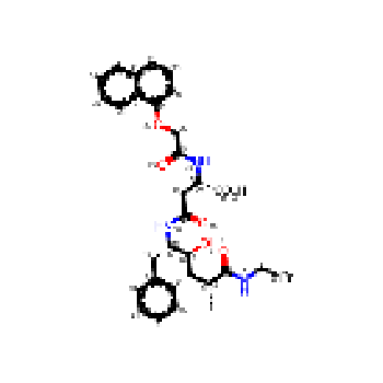 CC(C)CNC(=O)[C@H](C)C[C@H](O)[C@H](Cc1ccccc1)NC(=O)C[C@H](NC(=O)COc1cccc2ccccc12)C(=O)O